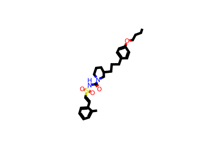 CCCCOc1ccc(CCCC2CCCN(C(=O)NS(=O)(=O)C=Cc3ccccc3C)C2)cc1